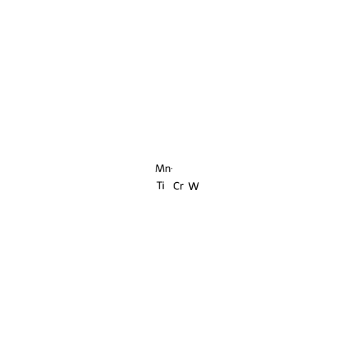 [Cr].[Mn].[Ti].[W]